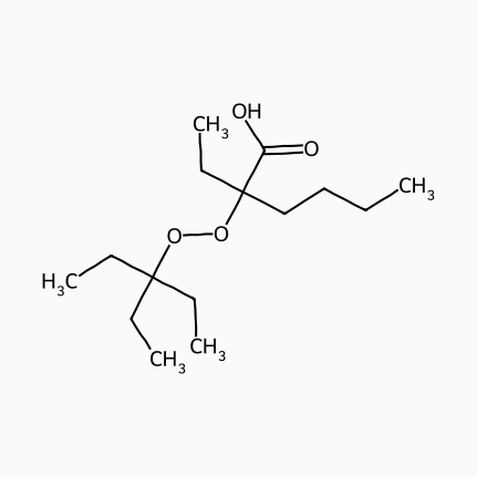 CCCCC(CC)(OOC(CC)(CC)CC)C(=O)O